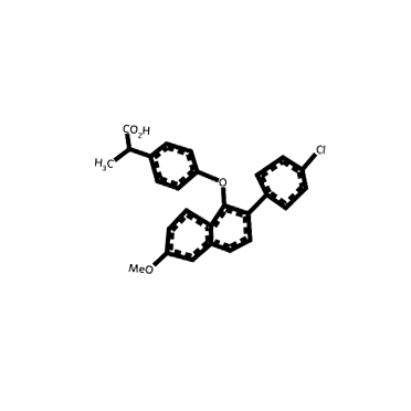 COc1ccc2c(Oc3ccc(C(C)C(=O)O)cc3)c(-c3ccc(Cl)cc3)ccc2c1